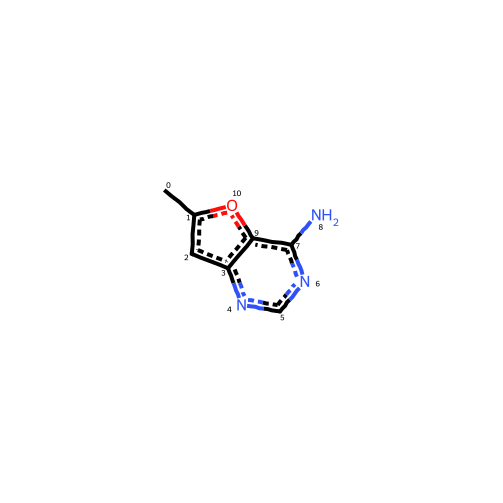 Cc1cc2ncnc(N)c2o1